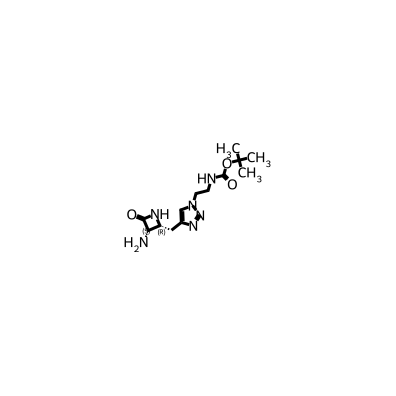 CC(C)(C)OC(=O)NCCn1cc(C[C@H]2NC(=O)[C@H]2N)nn1